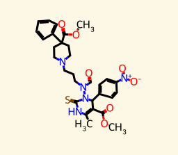 COC(=O)C1=C(C)NC(=S)N(N(C=O)CCCN2CCC(C(=O)OC)(c3ccccc3)CC2)C1c1ccc([N+](=O)[O-])cc1